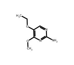 CCOc1cnc(N)nc1OC